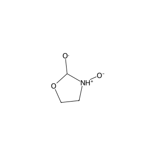 [O]C1OCC[NH+]1[O-]